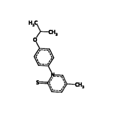 Cc1ccc(=S)n(-c2ccc(OC(C)C)cc2)c1